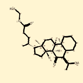 CSCOC(=O)CCC(C)[C@H]1CC[C@H]2[C@@H]3C(=O)C(=C(C)O)C4CCCC[C@]4(C)[C@H]3CC[C@]12C